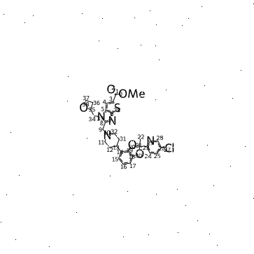 COC(=O)c1cc2c(nc(CN3CCC(c4cccc5c4OC(C)(c4ccc(Cl)cn4)O5)CC3)n2CC2CCO2)s1